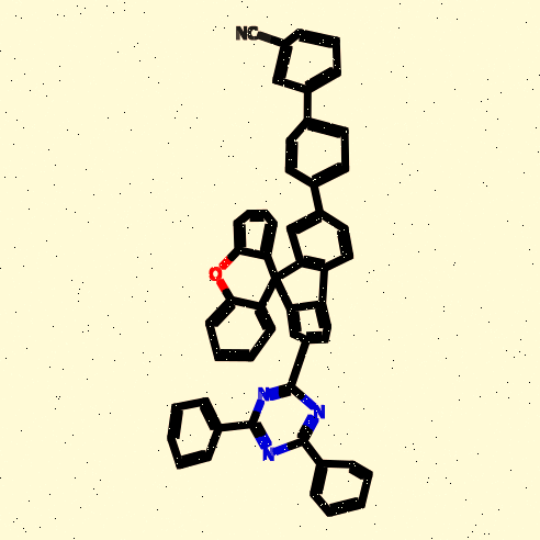 N#Cc1cccc(-c2ccc(-c3ccc4c(c3)C3(c5ccccc5Oc5ccccc53)c3cc(-c5nc(-c6ccccc6)nc(-c6ccccc6)n5)ccc3-4)cc2)c1